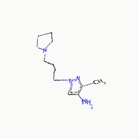 Cc1nn(CCCN2CCCC2)cc1N